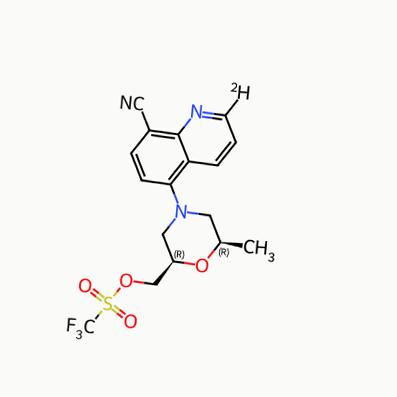 [2H]c1ccc2c(N3C[C@H](COS(=O)(=O)C(F)(F)F)O[C@H](C)C3)ccc(C#N)c2n1